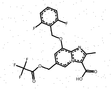 Cc1nc2c(OCc3c(F)cccc3F)cc(COC(=O)C(F)(F)F)cn2c1C(=O)O